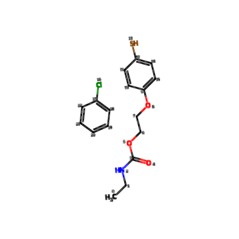 CCNC(=O)OCCOc1ccc(S)cc1.Clc1ccccc1